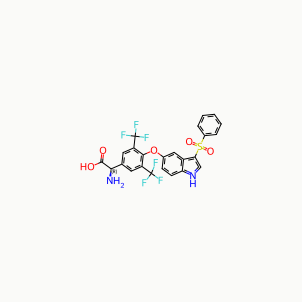 N[C@@H](C(=O)O)c1cc(C(F)(F)F)c(Oc2ccc3[nH]cc(S(=O)(=O)c4ccccc4)c3c2)c(C(F)(F)F)c1